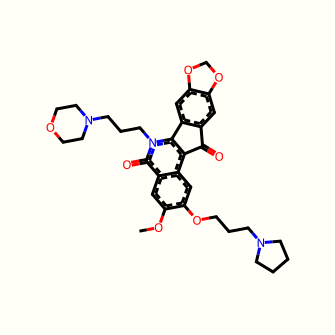 COc1cc2c(=O)n(CCCN3CCOCC3)c3c(c2cc1OCCCN1CCCC1)C(=O)c1cc2c(cc1-3)OCO2